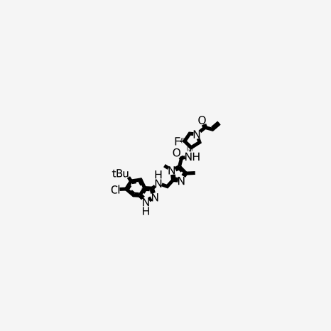 C=CC(=O)N1C[C@@H](F)[C@@H](NC(=O)c2c(C)nc(CNc3n[nH]c4cc(Cl)c(C(C)(C)C)cc34)n2C)C1